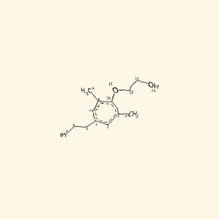 Cc1cc(CCC(C)C)cc(C)c1OCCO